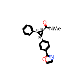 CNC(=O)[C@@H]1[C@H](c2ccccc2)[C@H]1c1ccc(-c2ncco2)cc1